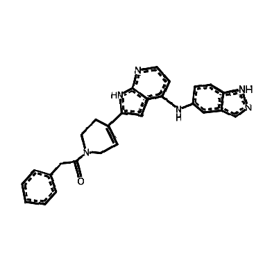 O=C(Cc1ccccc1)N1CC=C(c2cc3c(Nc4ccc5[nH]ncc5c4)ccnc3[nH]2)CC1